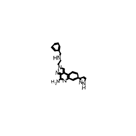 Nc1nc2cc(-c3cc[nH]n3)ccc2c2cn(CCNCc3ccccc3)nc12